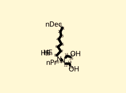 CCCCCCCCCCCCCCCCCCN(CCC)N(CCO)CCO.F.F